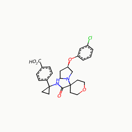 O=C(O)c1ccc(C2(NC(=O)C3(N4CC[C@@H](Oc5cccc(Cl)c5)C4)CCOCC3)CC2)cc1